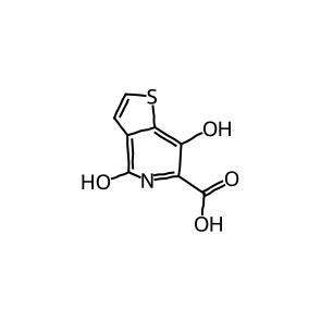 O=C(O)c1nc(O)c2ccsc2c1O